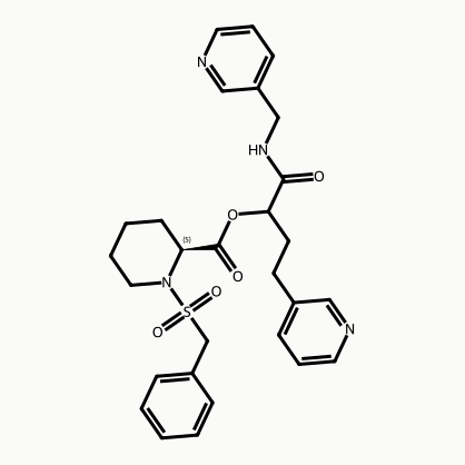 O=C(NCc1cccnc1)C(CCc1cccnc1)OC(=O)[C@@H]1CCCCN1S(=O)(=O)Cc1ccccc1